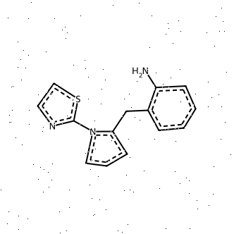 Nc1ccccc1Cc1cccn1-c1nccs1